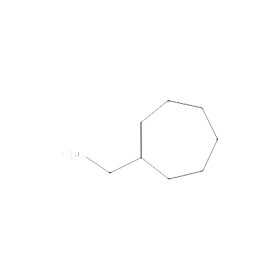 CCCCCC1CCCCCC1